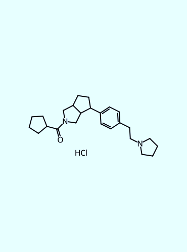 Cl.O=C(C1CCCC1)N1CC2CCC(c3ccc(CCN4CCCC4)cc3)C2C1